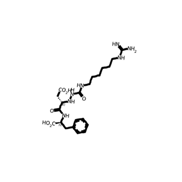 N=C(N)NCCCCCCNC(=O)NN[C@@H](CC(=O)O)C(=O)N[C@@H](Cc1ccccc1)C(=O)O